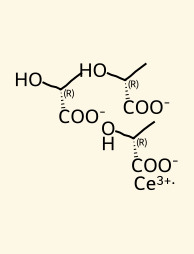 C[C@@H](O)C(=O)[O-].C[C@@H](O)C(=O)[O-].C[C@@H](O)C(=O)[O-].[Ce+3]